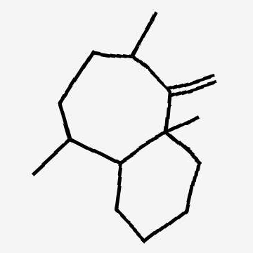 C=C1C(C)CCC(C)C2CCCCC12C